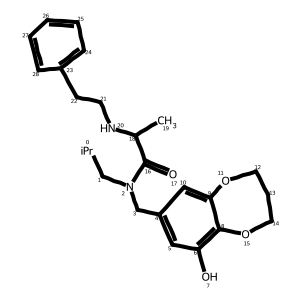 CC(C)CN(Cc1cc(O)c2c(c1)OCCCO2)C(=O)C(C)NCCc1ccccc1